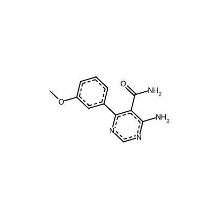 COc1cccc(-c2ncnc(N)c2C(N)=O)c1